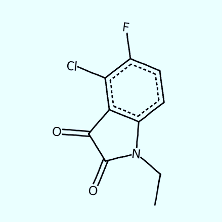 CCN1C(=O)C(=O)c2c1ccc(F)c2Cl